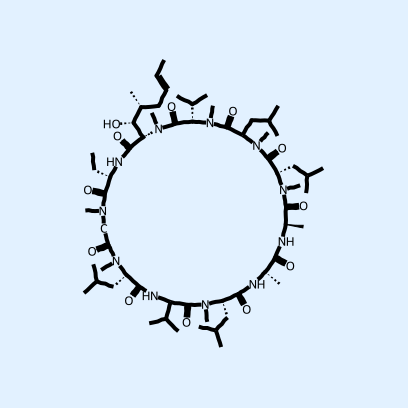 C/C=C/C[C@@H](C)[C@@H](O)[C@H]1C(=O)N[C@@H](CC)C(=O)N(C)CC(=O)N(C)[C@@H](CC(C)C)C(=O)NC(C(C)C)C(=O)N(C)[C@@H](CC(C)C)C(=O)N[C@@H](C)C(=O)N[C@H](C)C(=O)N(C)[C@@H](CC(C)C)C(=O)N(C)C(CC(C)C)C(=O)N(C)[C@@H](C(C)C)C(=O)N1C